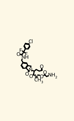 CN(COC(=O)CN)C(=O)C(CCC=O)N1Cc2cc(CNC(=O)C(F)(F)c3ccc(Cl)cc3)ccc2C1=O